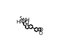 O=C1NC(=S)NC1=Cc1ccc2cc(-c3ccc4c(c3)COC4=O)ccc2n1